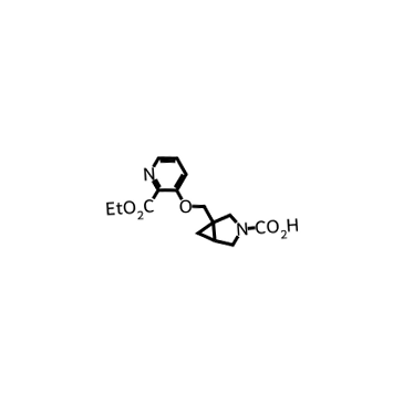 CCOC(=O)c1ncccc1OCC12CC1CN(C(=O)O)C2